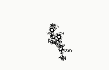 Cn1nnnc1SCC1=C(C(=O)[O-])N2C(=O)C(NC(=O)C(c3ccc(O)cc3)N(C(N)=O)c3cnc(Nc4ccc(S(N)(=O)=O)cc4)nc3O)[C@@H]2SC1.[Na+]